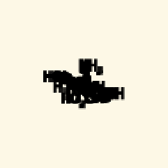 NCCCC[C@H](NC(=O)N[C@@H](Cc1ccc(O)cc1)C(=O)O)c1nnc([C@@H](N)Cc2ccc(O)cc2)o1